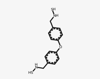 SNCc1ccc(Oc2ccc(CNS)cc2)cc1